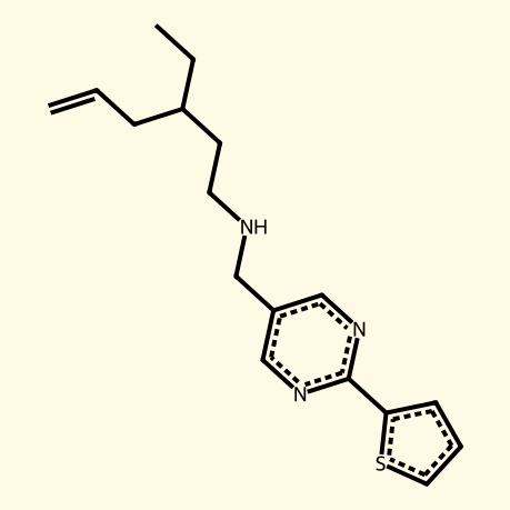 C=CCC(CC)CCNCc1cnc(-c2cccs2)nc1